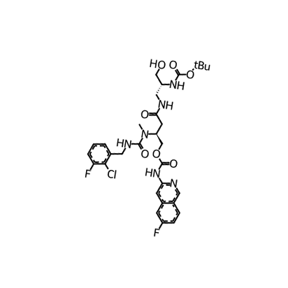 CN(C(=O)NCc1cccc(F)c1Cl)[C@H](COC(=O)Nc1cc2cc(F)ccc2cn1)CC(=O)NC[C@H](CO)NC(=O)OC(C)(C)C